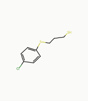 SCCCSc1ccc(Cl)cc1